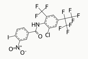 O=C(Nc1c(Cl)cc(C(F)(C(F)(F)F)C(F)(F)F)cc1C(F)(F)F)c1ccc(I)c([N+](=O)[O-])c1